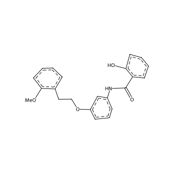 COc1ccccc1CCOc1cccc(NC(=O)c2ccccc2O)c1